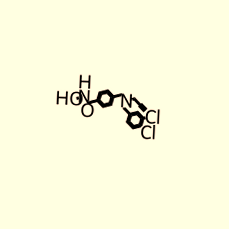 C#CCN(Cc1ccc(C(=O)NO)cc1)Cc1ccc(Cl)c(Cl)c1